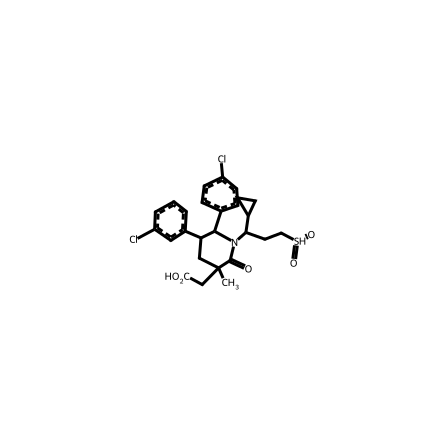 CC1(CC(=O)O)CC(c2cccc(Cl)c2)C(c2ccc(Cl)cc2)N(C(CC[SH](=O)=O)C2CC2)C1=O